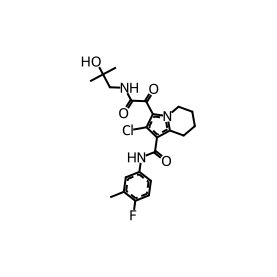 Cc1cc(NC(=O)c2c(Cl)c(C(=O)C(=O)NCC(C)(C)O)n3c2CCCC3)ccc1F